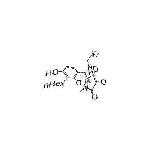 CCCCCCc1c(O)ccc2c1O[C@@]1(C(Cl)=C(Cl)C(=O)N1C)[C@H]2NCC(C)C